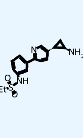 CCS(=O)(=O)Nc1cccc(-c2ccc([C@@H]3C[C@H]3N)cn2)c1